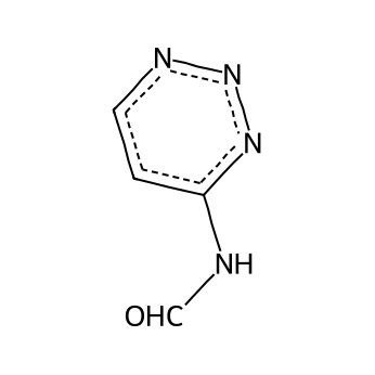 O=CNc1ccnnn1